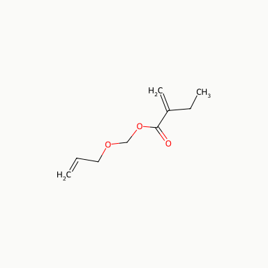 C=CCOCOC(=O)C(=C)CC